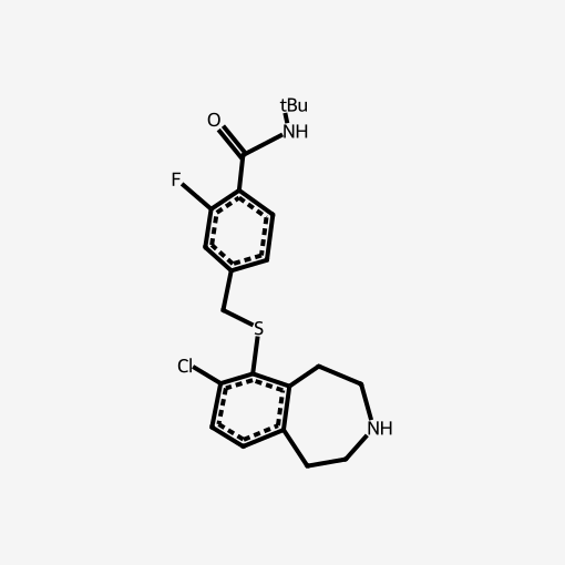 CC(C)(C)NC(=O)c1ccc(CSc2c(Cl)ccc3c2CCNCC3)cc1F